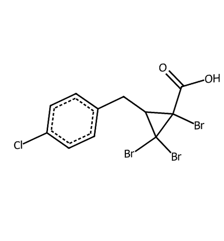 O=C(O)C1(Br)C(Cc2ccc(Cl)cc2)C1(Br)Br